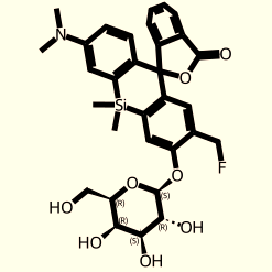 CN(C)c1ccc2c(c1)[Si](C)(C)c1cc(O[C@@H]3O[C@H](CO)[C@H](O)[C@H](O)[C@H]3O)c(CF)cc1C21OC(=O)c2ccccc21